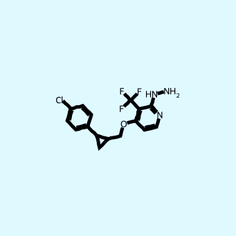 NNc1nccc(OCC2CC2c2ccc(Cl)cc2)c1C(F)(F)F